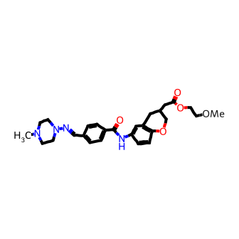 COCCOC(=O)CC1COc2ccc(NC(=O)c3ccc(C=NN4CCN(C)CC4)cc3)cc2C1